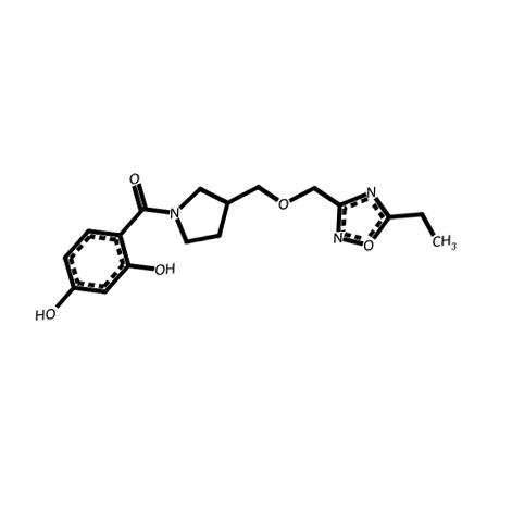 CCc1nc(COCC2CCN(C(=O)c3ccc(O)cc3O)C2)no1